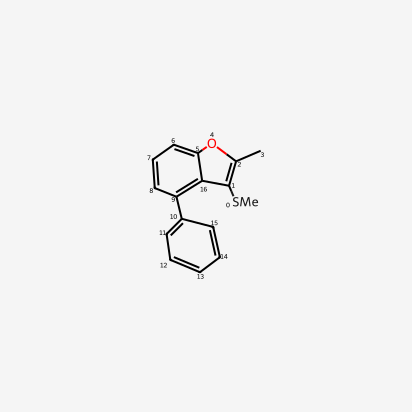 CSc1c(C)oc2cccc(-c3ccccc3)c12